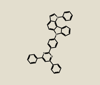 c1ccc(-c2cc(-c3ccccc3)nc(-c3ccc(-n4c5ccccc5c5c6c(ccc54)ccn6-c4ccccc4)cc3)n2)cc1